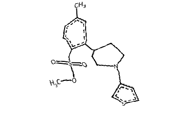 COS(=O)(=O)c1ccc(C)cc1C1CCN(c2ccsc2)C1